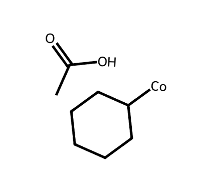 CC(=O)O.[Co][CH]1CCCCC1